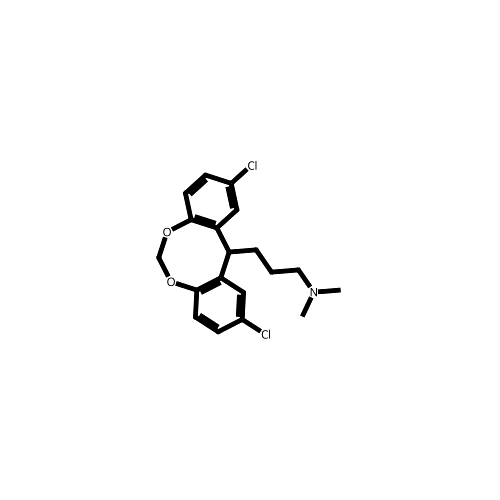 CN(C)CCCC1c2cc(Cl)ccc2OCOc2ccc(Cl)cc21